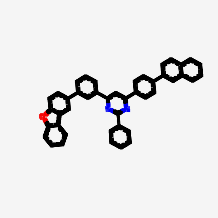 c1ccc(-c2nc(-c3ccc(-c4ccc5ccccc5c4)cc3)cc(-c3cccc(-c4ccc5oc6ccccc6c5c4)c3)n2)cc1